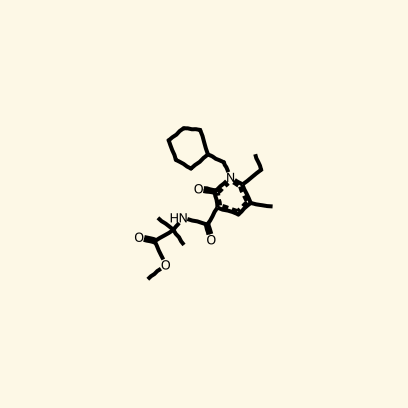 CCc1c(C)cc(C(=O)NC(C)(C)C(=O)OC)c(=O)n1CC1CCCCC1